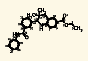 CCOC(=O)c1ccc2c(c1)CC(C)(C)C(c1cccc(C(=O)Nc3ccccc3)c1)N2